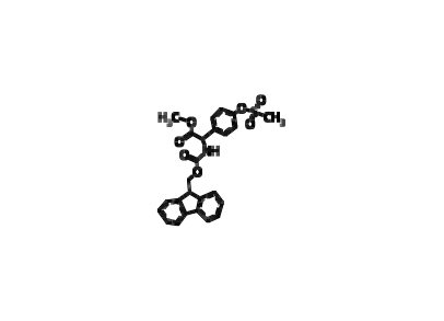 COC(=O)C(NC(=O)OCC1c2ccccc2-c2ccccc21)c1ccc(OS(C)(=O)=O)cc1